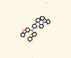 c1ccc(-c2ccccc2-n2c3ccccc3c3ccccc32)c(-c2ccc(N(c3ccc4oc5ccccc5c4c3)c3cccc4c3sc3ccccc34)cc2)c1